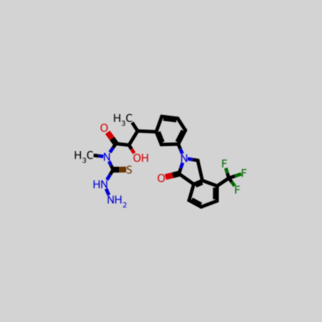 CC(c1cccc(N2Cc3c(cccc3C(F)(F)F)C2=O)c1)C(O)C(=O)N(C)C(=S)NN